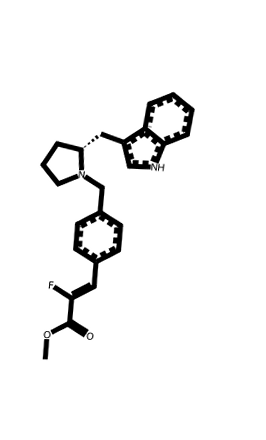 COC(=O)C(F)=Cc1ccc(CN2CCC[C@@H]2Cc2c[nH]c3ccccc23)cc1